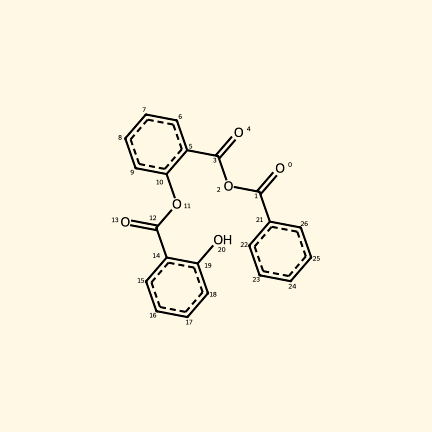 O=C(OC(=O)c1ccccc1OC(=O)c1ccccc1O)c1ccccc1